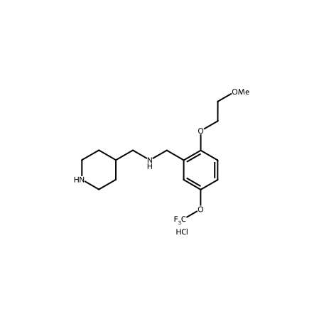 COCCOc1ccc(OC(F)(F)F)cc1CNCC1CCNCC1.Cl